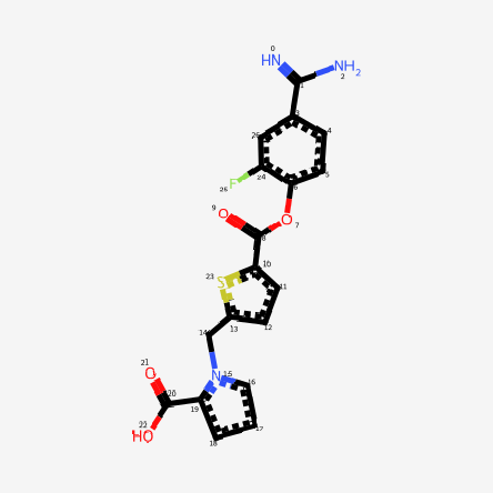 N=C(N)c1ccc(OC(=O)c2ccc(Cn3cccc3C(=O)O)s2)c(F)c1